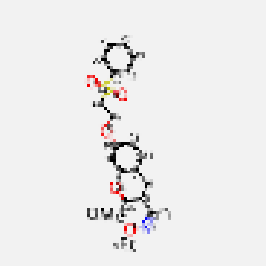 CCO/N=C(/C)C(Cc1ccc(OCCS(=O)(=O)c2ccccc2)cc1)C(=O)OC